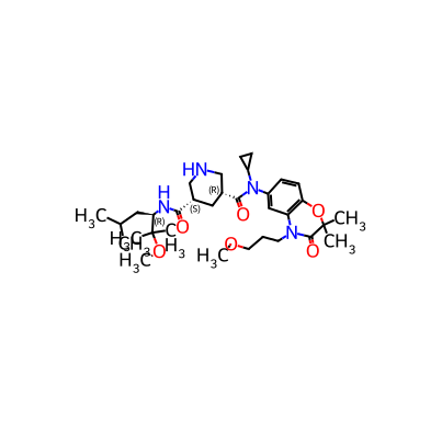 COCCCN1C(=O)C(C)(C)Oc2ccc(N(C(=O)[C@H]3CNC[C@@H](C(=O)N[C@H](CC(C)C)C(C)(C)OC)C3)C3CC3)cc21